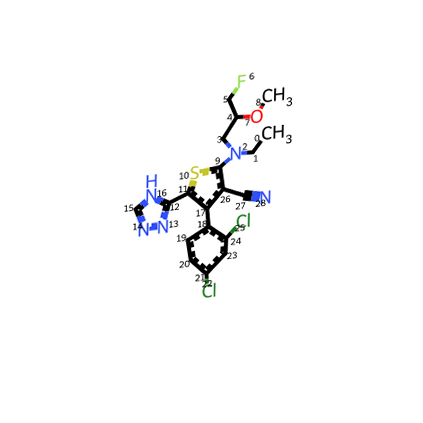 CCN(CC(CF)OC)c1sc(-c2nnc[nH]2)c(-c2ccc(Cl)cc2Cl)c1C#N